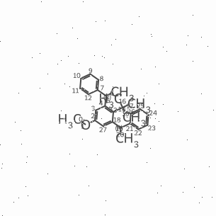 COc1cc([C@H](C)c2ccccc2)c(C(C)(C)C)c([C@H](C)c2ccccc2)c1